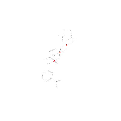 CC(=O)c1cccc(NC(=O)NCCCN2[C@@H]3CC[C@H]2C[C@H](Cc2ccc(F)cc2)C3)c1